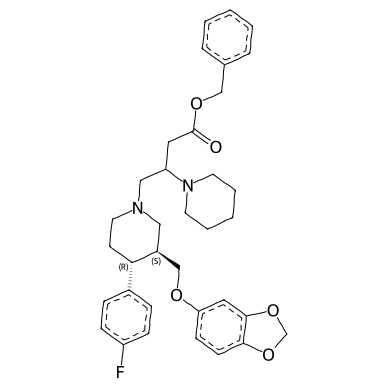 O=C(CC(CN1CC[C@@H](c2ccc(F)cc2)[C@H](COc2ccc3c(c2)OCO3)C1)N1CCCCC1)OCc1ccccc1